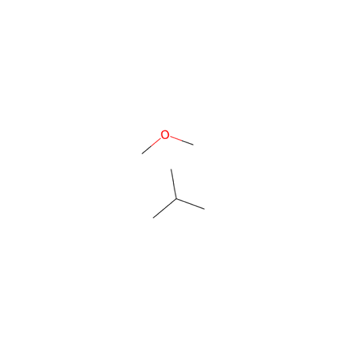 CC(C)C.COC